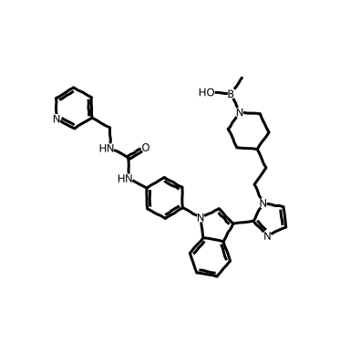 CB(O)N1CCC(CCn2ccnc2-c2cn(-c3ccc(NC(=O)NCc4cccnc4)cc3)c3ccccc23)CC1